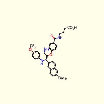 COc1ccc2cc(/C(Nc3ccc(OC(F)(F)F)cc3)=C(/C=N)Oc3ccc(C(=O)NCCCC(=O)O)cc3)ccc2c1